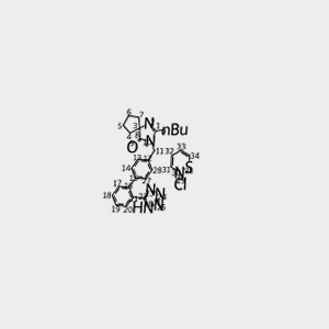 CCCCC1=NC2(CCCC2)C(=O)N1Cc1ccc(-c2ccccc2-c2nnn[nH]2)cc1.ClN1C=CC=CS1